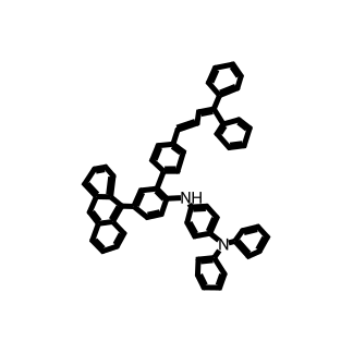 C(=Cc1ccc(-c2cc(-c3c4ccccc4cc4ccccc34)ccc2Nc2ccc(N(c3ccccc3)c3ccccc3)cc2)cc1)C=C(c1ccccc1)c1ccccc1